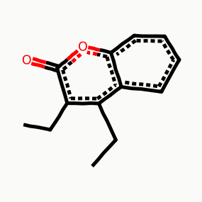 CCc1c(CC)c2ccccc2oc1=O